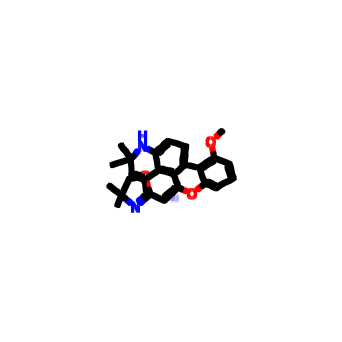 COc1cccc2c1-c1ccc3c(c1/C(=C\C1=NC(C)(C)CO1)O2)C(C)=CC(C)(C)N3